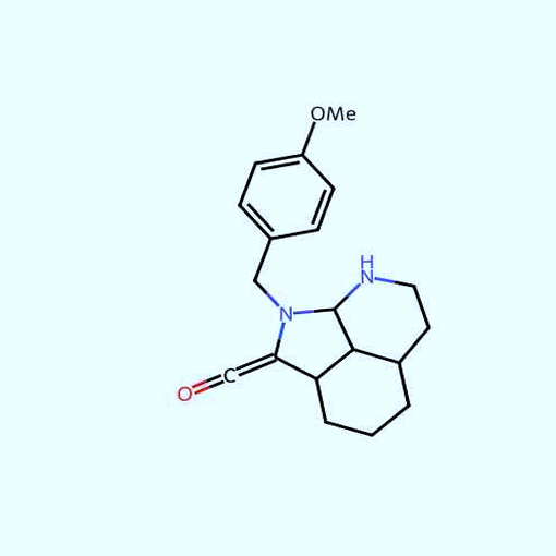 COc1ccc(CN2C(=C=O)C3CCCC4CCNC2C43)cc1